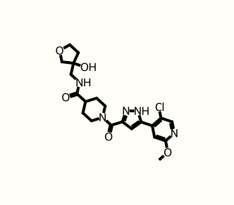 COc1cc(-c2cc(C(=O)N3CCC(C(=O)NCC4(O)CCOC4)CC3)n[nH]2)c(Cl)cn1